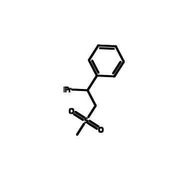 CC(C)C(CS(C)(=O)=O)c1ccccc1